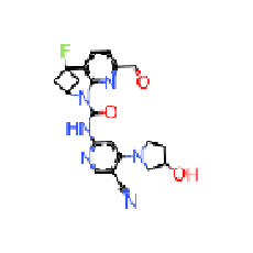 N#Cc1cnc(NC(=O)N2c3nc(C=O)ccc3C3(F)CC2C3)cc1N1CCC(O)C1